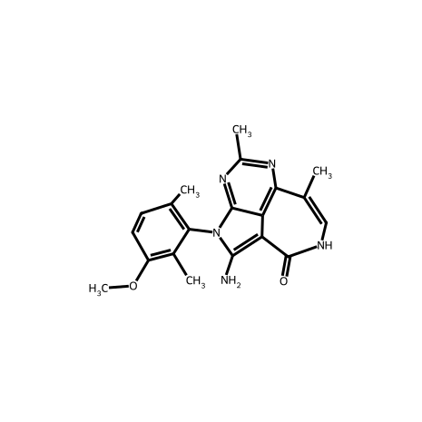 COc1ccc(C)c(-n2c(N)c3c4c(nc(C)nc42)C(C)=CNC3=O)c1C